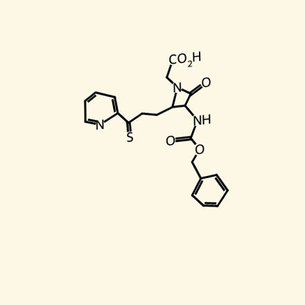 O=C(O)CN1C(=O)C(NC(=O)OCc2ccccc2)C1CCC(=S)c1ccccn1